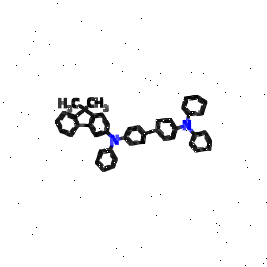 CC1(C)c2ccccc2-c2cc(N(c3ccccc3)c3ccc(-c4ccc(N(c5ccccc5)c5ccccc5)cc4)cc3)ccc21